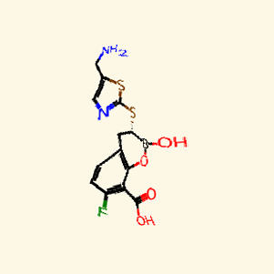 NCc1cnc(S[C@H]2Cc3ccc(F)c(C(=O)O)c3OB2O)s1